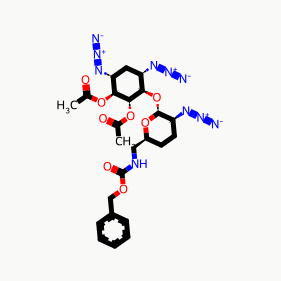 CC(=O)O[C@@H]1[C@@H](OC(C)=O)[C@H](N=[N+]=[N-])C[C@H](N=[N+]=[N-])[C@H]1O[C@H]1O[C@H](CNC(=O)OCc2ccccc2)CC[C@@H]1N=[N+]=[N-]